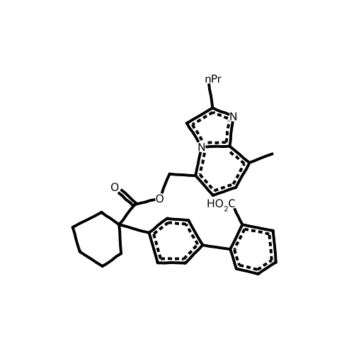 CCCc1cn2c(COC(=O)C3(c4ccc(-c5ccccc5C(=O)O)cc4)CCCCC3)ccc(C)c2n1